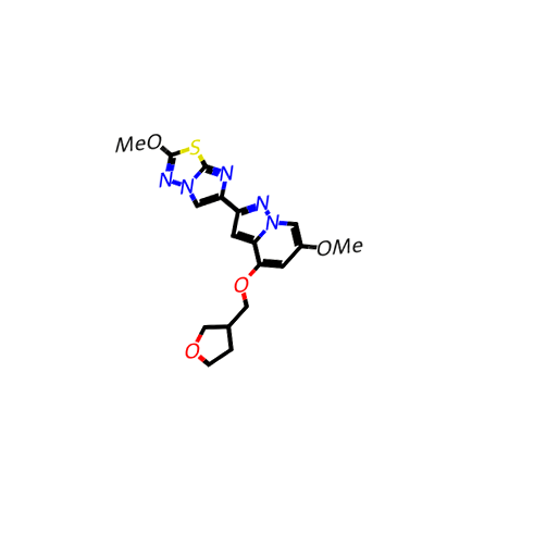 COc1cc(OCC2CCOC2)c2cc(-c3cn4nc(OC)sc4n3)nn2c1